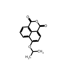 CC(C)Oc1ccc2c3c(cccc13)C(=O)OC2=O